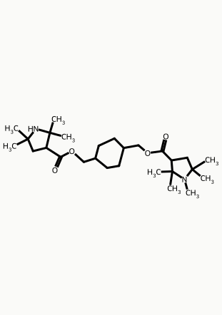 CN1C(C)(C)CC(C(=O)OCC2CCC(COC(=O)C3CC(C)(C)NC3(C)C)CC2)C1(C)C